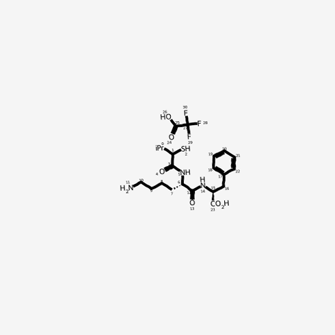 CC(C)C(S)C(=O)N[C@@H](CCCCN)C(=O)N[C@@H](Cc1ccccc1)C(=O)O.O=C(O)C(F)(F)F